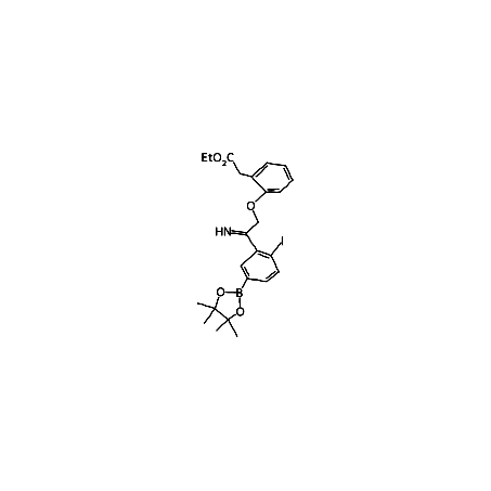 CCOC(=O)Cc1ccccc1OCC(=N)c1cc(B2OC(C)(C)C(C)(C)O2)ccc1I